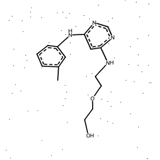 Cc1cccc(Nc2cc(NCCOCCO)ncn2)c1